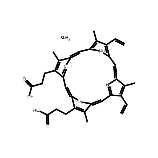 C=CC1=C(C)c2cc3[nH]c(cc4nc(cc5[nH]c(cc1n2)c(C)c5CCC(=O)O)C(CCC(=O)O)=C4C)c(C)c3C=C.[SbH3]